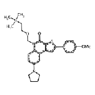 COc1ccc(-c2cc3c(s2)c(=O)n(COCC[Si](C)(C)C)c2ccc(N4CCCC4)cc32)cc1